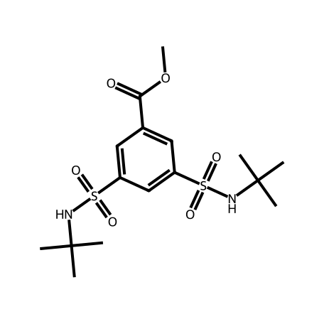 COC(=O)c1cc(S(=O)(=O)NC(C)(C)C)cc(S(=O)(=O)NC(C)(C)C)c1